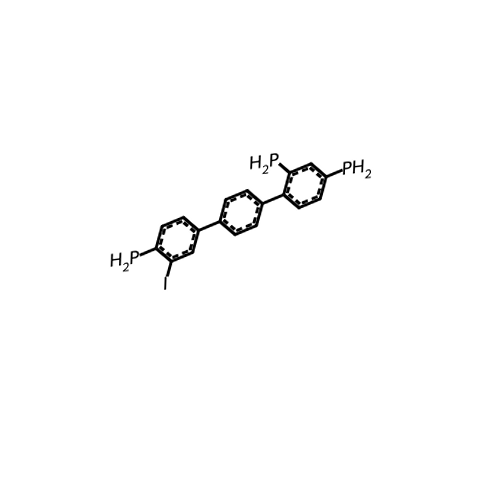 Pc1ccc(-c2ccc(-c3ccc(P)c(I)c3)cc2)c(P)c1